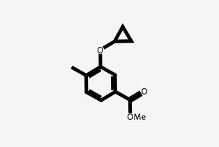 COC(=O)c1ccc(C)c(OC2CC2)c1